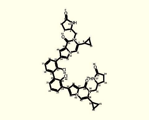 O=C1CCC(Cn2c(C3CC3)cn3cc(-c4cccc(-c5cccc(-c6cc7c(=O)n(CC8CCC(=O)N8)c(C8CC8)cn7c6)c5Cl)c4Cl)cc3c2=O)N1